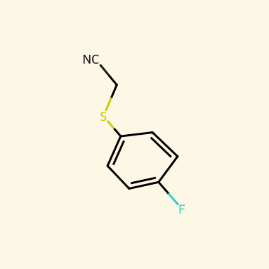 N#CCSc1ccc(F)cc1